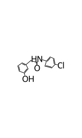 O=C(Cc1cccc(O)c1)Nc1ccc(Cl)cc1